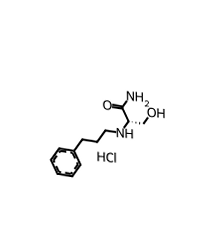 Cl.NC(=O)[C@H](CO)NCCCc1ccccc1